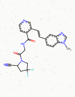 Cn1cnc2cc(C=Cc3cnccc3C(=O)NCC(=O)N3CC(F)(F)CC3C#N)ccc21